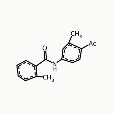 CC(=O)c1ccc(NC(=O)c2ccccc2C)cc1C